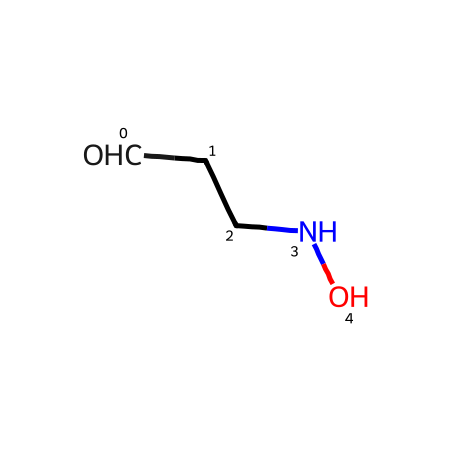 O=CCCNO